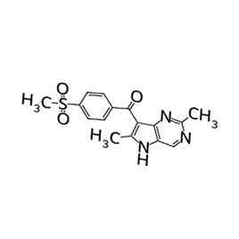 Cc1ncc2[nH]c(C)c(C(=O)c3ccc(S(C)(=O)=O)cc3)c2n1